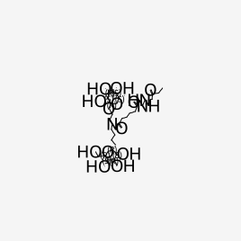 CCC(=O)CNNC(=O)CCCCC(=O)N(CCCC[C@H]1O[C@H](CO)[C@@H](O)[C@H](O)[C@@H]1O)CCO[C@@H]1O[C@@H](C)[C@@H](O)[C@@H](O)[C@@H]1O